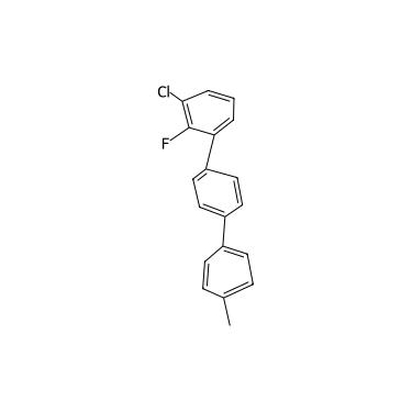 Cc1ccc(-c2ccc(-c3cccc(Cl)c3F)cc2)cc1